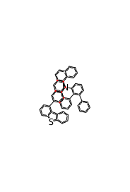 c1ccc(-c2ccccc2-c2c(-c3ccccc3)cccc2N(c2ccc(-c3cccc4sc5ccccc5c34)cc2)c2cccc3ccccc23)cc1